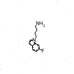 NCCCCn1ccc2ccc(F)cc21